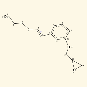 CCCCCCCCCCCCC/C=C/c1cccc(OCC2CO2)c1